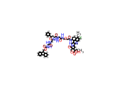 CC[C@@]1(O)C(=O)OCc2c1cc1n(c2=O)Cc2c-1nc1cc(F)c(C)c3c1c2[C@@H](NC(=O)COCNC(=O)CNC(=O)[C@H](CCc1ccccc1)NC(=O)CNC(=O)CNC(=O)OCC1c2ccccc2-c2ccccc21)CC3